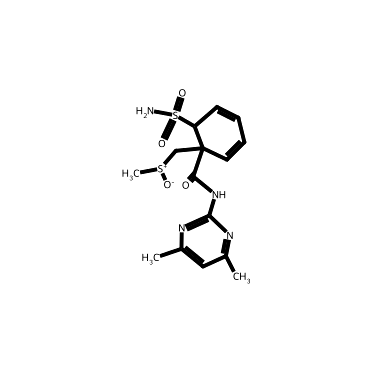 Cc1cc(C)nc(NC(=O)C2(C[S+](C)[O-])C=CC=CC2S(N)(=O)=O)n1